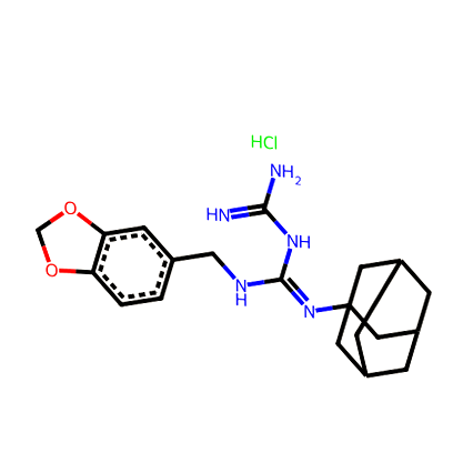 Cl.N=C(N)NC(=NC12CC3CC(CC(C3)C1)C2)NCc1ccc2c(c1)OCO2